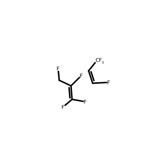 F/C=C\C(F)(F)F.FCC(F)=C(F)F